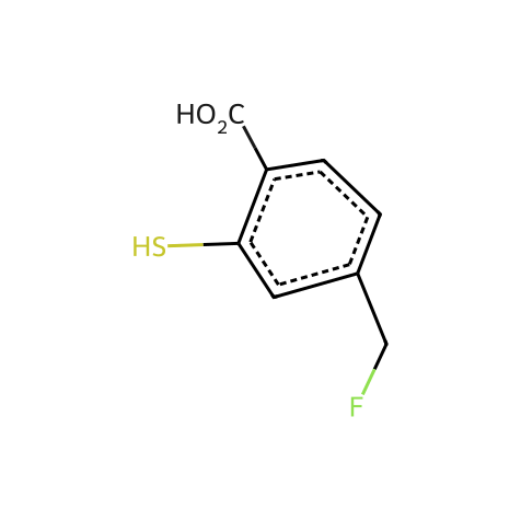 O=C(O)c1ccc(CF)cc1S